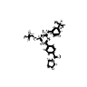 O=C(c1ccc(-c2nc(Nc3cccc(C(F)(F)F)c3)nc(OCC(F)(F)F)n2)cc1)N1CCCC1